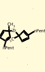 CCCCCC1=C[C](C)([Zr][C]2(C)C=CC(CCCCC)=C2)C=C1